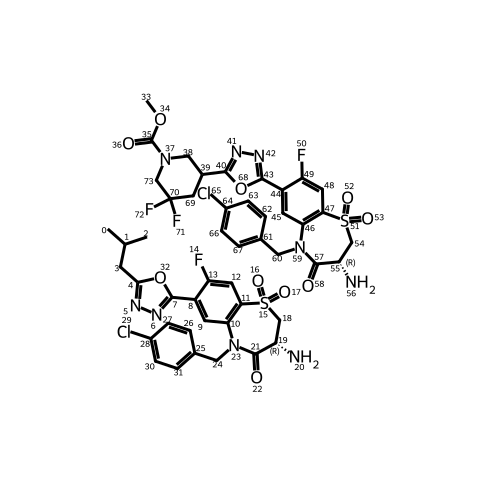 CC(C)Cc1nnc(-c2cc3c(cc2F)S(=O)(=O)C[C@H](N)C(=O)N3Cc2ccc(Cl)cc2)o1.COC(=O)N1CC(c2nnc(-c3cc4c(cc3F)S(=O)(=O)C[C@H](N)C(=O)N4Cc3ccc(Cl)cc3)o2)CC(F)(F)C1